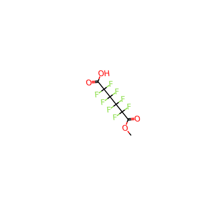 COC(=O)C(F)(F)C(F)(F)C(F)(F)C(F)(F)C(=O)O